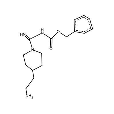 N=C(NC(=O)OCc1ccccc1)N1CCC(CCN)CC1